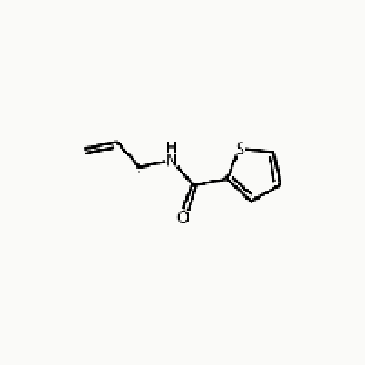 C=C[CH]NC(=O)c1cccs1